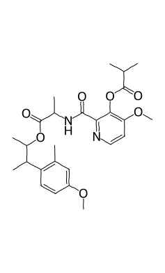 COc1ccc(C(C)C(C)OC(=O)C(C)NC(=O)c2nccc(OC)c2OC(=O)C(C)C)c(C)c1